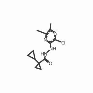 Cc1nc(Cl)c(NNC(=O)C2(C3CC3)CC2)nc1C